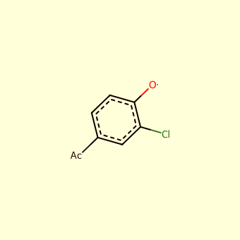 CC(=O)c1ccc([O])c(Cl)c1